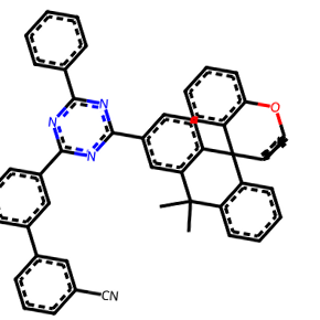 CC1(C)c2ccccc2C2(c3ccccc3Oc3ccccc32)c2ccc(-c3nc(-c4ccccc4)nc(-c4cccc(-c5cccc(C#N)c5)c4)n3)cc21